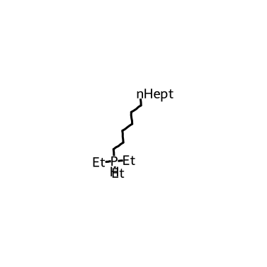 CCCCCCCCCCCCC[PH](CC)(CC)CC